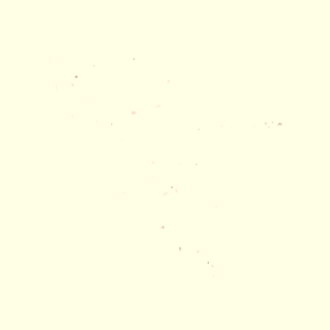 COc1ccc(C2C(CCC(CC(C)(C)[Si](C)(C)O)c3ccccc3)C(=O)N2c2ccc(N)cc2)cc1